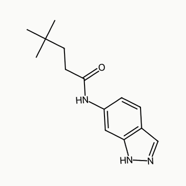 CC(C)(C)CCC(=O)Nc1ccc2cn[nH]c2c1